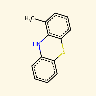 Cc1cccc2c1Nc1ccccc1S2